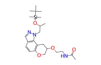 CC(=O)NCCOC1COc2ccc3cnn(CC(C)O[Si](C)(C)C(C)(C)C)c3c2C1